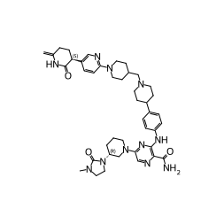 C=C1CC[C@@H](c2ccc(N3CCC(CN4CCC(c5ccc(Nc6nc(N7CCC[C@@H](N8CCN(C)C8=O)C7)cnc6C(N)=O)cc5)CC4)CC3)nc2)C(=O)N1